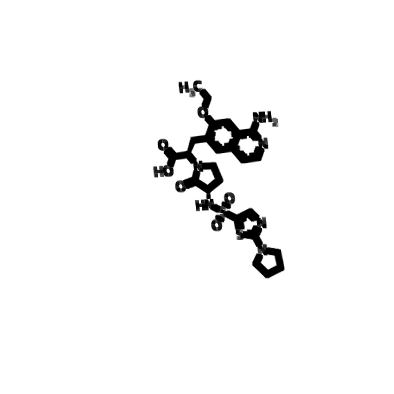 CCOc1cc2c(N)nccc2cc1C[C@H](C(=O)O)N1CC[C@H](NS(=O)(=O)c2cnc(N3CCCC3)s2)C1=O